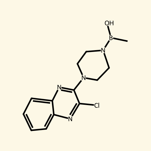 CB(O)N1CCN(c2nc3ccccc3nc2Cl)CC1